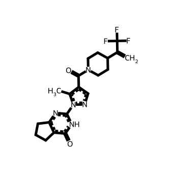 C=C(C1CCN(C(=O)c2cnn(-c3nc4c(c(=O)[nH]3)CCC4)c2C)CC1)C(F)(F)F